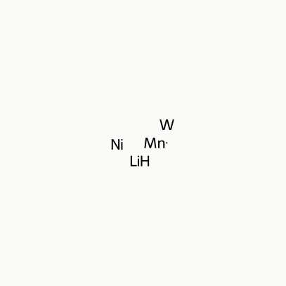 [LiH].[Mn].[Ni].[W]